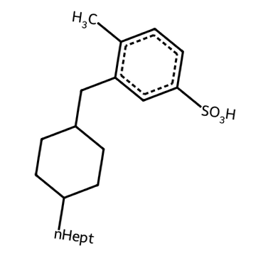 CCCCCCCC1CCC(Cc2cc(S(=O)(=O)O)ccc2C)CC1